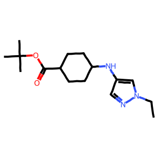 CCn1cc(NC2CCC(C(=O)OC(C)(C)C)CC2)cn1